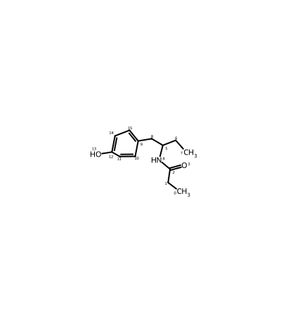 CCC(=O)NC(CC)Cc1ccc(O)cc1